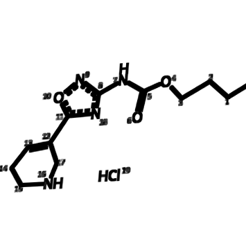 CCCCOC(=O)Nc1noc(C2=CCCNC2)n1.Cl